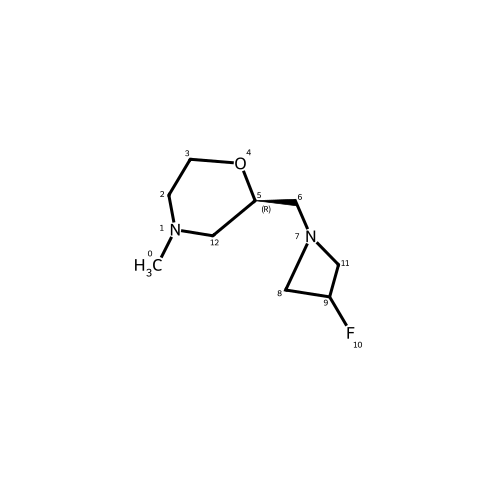 CN1CCO[C@@H](CN2CC(F)C2)C1